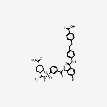 CC(NS(=O)(=O)c1cccc(C(=O)Nc2cc(Br)ccc2C(=O)Nc2ccc(CCc3ccc(C(=O)O)cc3)cc2)c1)[C@H]1CC[C@H](C(=O)O)CC1